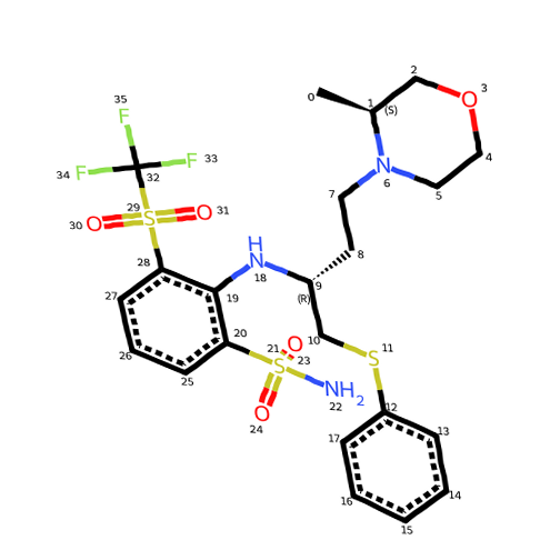 C[C@H]1COCCN1CC[C@H](CSc1ccccc1)Nc1c(S(N)(=O)=O)cccc1S(=O)(=O)C(F)(F)F